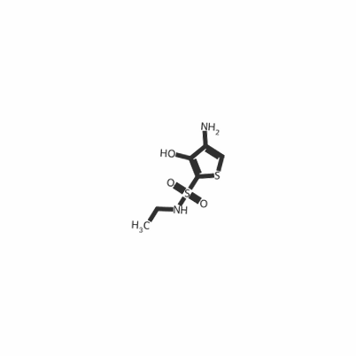 CCNS(=O)(=O)c1scc(N)c1O